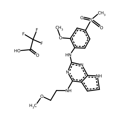 COCCNc1nc(Nc2ccc(S(C)(=O)=O)cc2OC)nc2[nH]ccc12.O=C(O)C(F)(F)F